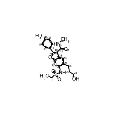 CCS(=O)(=O)Nc1nc2oc(-c3ccc(C)cc3)c(C(=O)NC)c2cc1CCCO